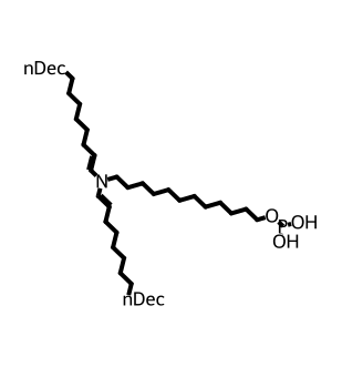 CCCCCCCCCCCCCCCCC=CN(C=CCCCCCCCCCCCCCCCC)CCCCCCCCCCCCOP(O)O